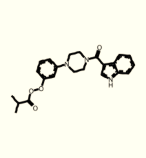 CC(C)C(=O)OOc1cccc(N2CCN(C(=O)c3c[nH]c4ccccc34)CC2)c1